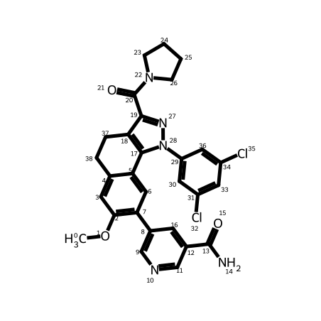 COc1cc2c(cc1-c1cncc(C(N)=O)c1)-c1c(c(C(=O)N3CCCC3)nn1-c1cc(Cl)cc(Cl)c1)CC2